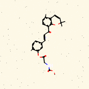 COc1ccc(/C=C/C(=O)c2ccc(OC)c3c2OC(C)(C)C=C3)cc1OC(=O)CNC(=O)OC(C)(C)C